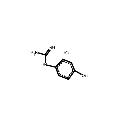 Cl.N=C(N)Nc1ccc(O)cc1